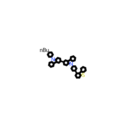 CCCCc1ccc(-n2c3ccccc3c3cc(-c4ccc5c(c4)c4ccccc4n5-c4ccc(-c5cccc6sc7ccccc7c56)cc4)ccc32)cc1